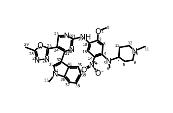 COc1cc(N(C)C2CCN(C)CC2)c([N+](=O)[O-])cc1Nc1ncc(-c2nnc(C)o2)c(-c2cn(C)c3ccccc23)n1